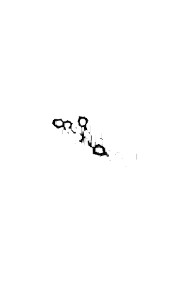 O=C(O)c1ccc(CNC(=O)c2nc3ccccc3n2Cc2ccc3ccccc3n2)cc1